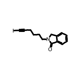 O=C1c2ccccc2CN1CCCCC#CI